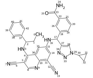 CCC(Nc1c(C#N)cnc2c(C#N)cc(NC(c3cccc(C(N)=O)c3)c3cn(C4CC4)nn3)cc12)c1ccccc1